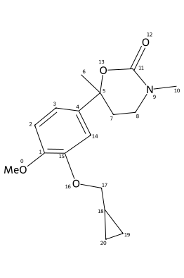 COc1ccc(C2(C)CCN(C)C(=O)O2)cc1OCC1CC1